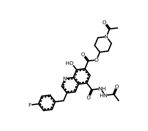 CC(=O)NNC(=O)c1cc(C(=O)OC2CCN(C(C)=O)CC2)c(O)c2ncc(Cc3ccc(F)cc3)cc12